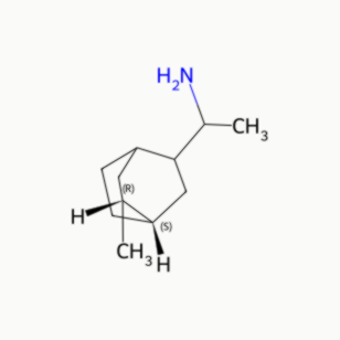 CC(N)C1C[C@@H]2CCC1C[C@H]2C